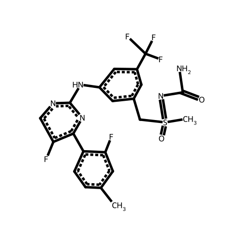 Cc1ccc(-c2nc(Nc3cc(CS(C)(=O)=NC(N)=O)cc(C(F)(F)F)c3)ncc2F)c(F)c1